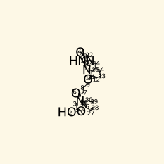 O=C(O)CN(C(=O)CCCOc1cccc2c1N=C1NC(=O)CN1C2)c1ccccc1